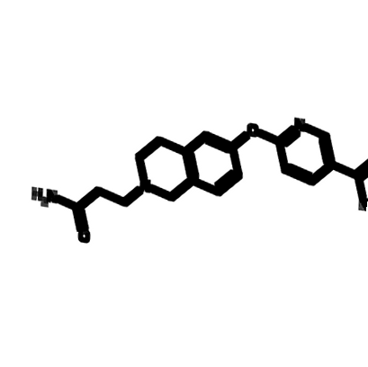 NC(=O)CCN1CCc2cc(Oc3ccc(C(N)=O)cn3)ccc2C1